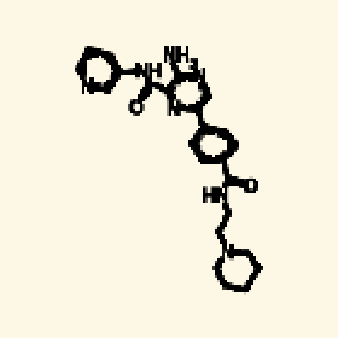 Nc1ncc(-c2ccc(C(=O)NCCN3CCCCC3)cc2)nc1C(=O)Nc1cccnc1